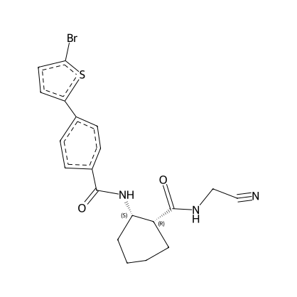 N#CCNC(=O)[C@@H]1CCCC[C@@H]1NC(=O)c1ccc(-c2ccc(Br)s2)cc1